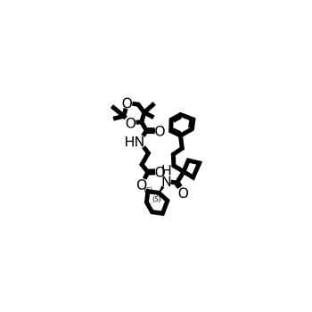 CC1(C)OCC(C)(C)C(C(=O)NCCC(=O)O[C@H]2CCCC[C@@H]2NC(=O)C2(CCCc3ccccc3)CCC2)O1